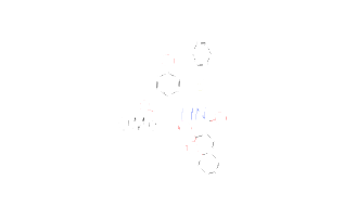 COC(=O)Cc1ccc2c(c1)C(SCCNC(=O)c1cc3ccccc3oc1=O)c1ccccc1CO2